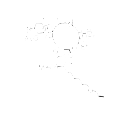 C=CCOCCCCCO[C@H]1[C@H](C)O[C@@H](O[C@H]2[C@H](C)[C@@H](O[C@@H]3O[C@H](C)C[C@H](N(C)C)[C@H]3OC(C)=O)[C@](C)(O)C[C@@H](C)CN(C)[C@H](C)C(O)[C@](C)(OC(C)=O)[C@@H](CC)OC(=O)[C@@H]2C)C[C@@]1(C)OC